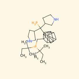 CCC(C)(C)P(C[C]12[CH]3[CH]4[CH]5[C]1(C(P)(C1CCNC1)C1CCNC1)[Fe]43521678[CH]2[CH]1[CH]6[CH]7[CH]28)C(C)(C)CC